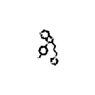 Clc1ccc(-n2c(CCCn3ccnc3)nc3ccncc32)cc1